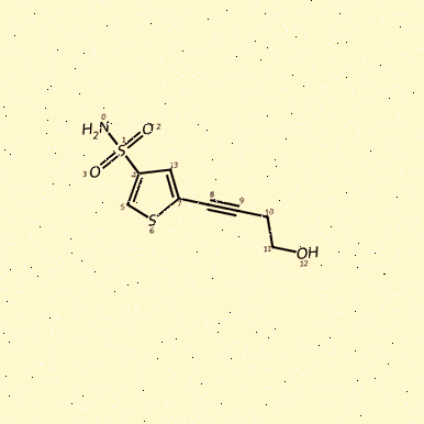 NS(=O)(=O)c1csc(C#CCCO)c1